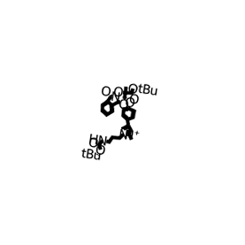 C[n+]1cc(-c2ccc(OCC(C)(ON3C(=O)c4ccccc4C3=O)C(=O)OC(C)(C)C)cc2)cn1CCCNC(=O)OC(C)(C)C